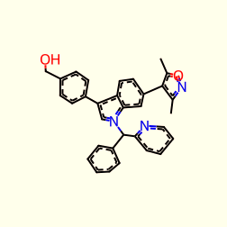 Cc1noc(C)c1-c1ccc2c(-c3ccc(CO)cc3)cn(C(c3ccccc3)c3ccccn3)c2c1